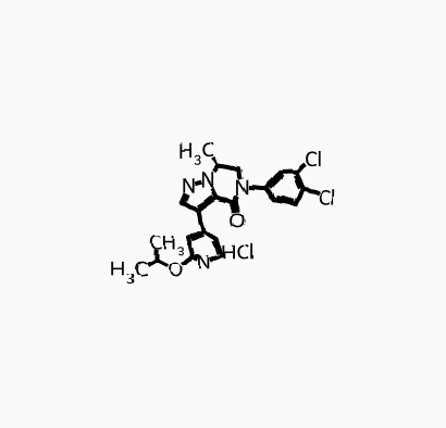 CC(C)Oc1cc(-c2cnn3c2C(=O)N(c2ccc(Cl)c(Cl)c2)C[C@@H]3C)ccn1.Cl